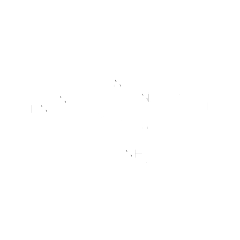 NC(=O)c1cc(-c2cc[nH]n2)cnc1N1CCC(O)C1